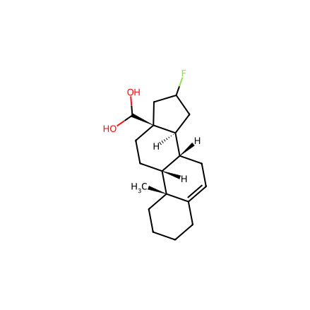 C[C@]12CCCCC1=CC[C@@H]1[C@H]2CC[C@]2(C(O)O)CC(F)C[C@@H]12